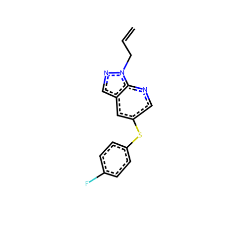 C=CCn1ncc2cc(Sc3ccc(F)cc3)cnc21